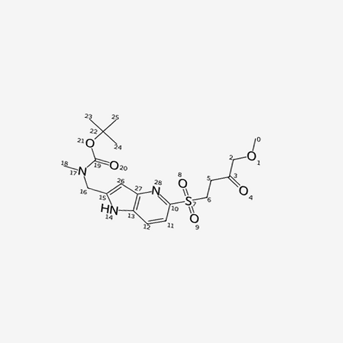 COCC(=O)CCS(=O)(=O)c1ccc2[nH]c(CN(C)C(=O)OC(C)(C)C)cc2n1